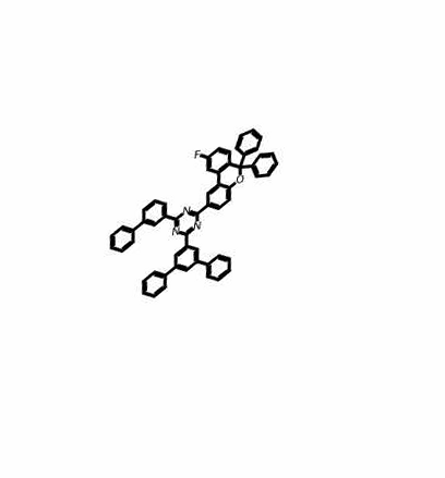 Fc1ccc2c(c1)-c1cc(-c3nc(-c4cccc(-c5ccccc5)c4)nc(-c4cc(-c5ccccc5)cc(-c5ccccc5)c4)n3)ccc1OC2(c1ccccc1)c1ccccc1